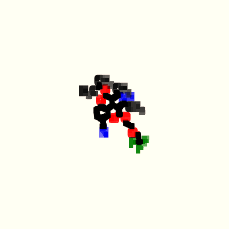 CC1=C(C(=O)OCCOCC(F)(F)F)C(c2cccc(C#N)c2)C(C(=O)OC(C)C)=C(C)N1